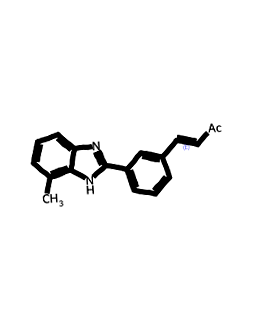 CC(=O)/C=C/c1cccc(-c2nc3cccc(C)c3[nH]2)c1